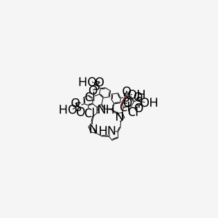 O=S(=O)(O)c1cccc(C2=Cc3cc4ccc(cc5nc(cc6[nH]c(c(-c7cccc(S(=O)(=O)O)c7Cl)c2n3)c(-c2cccc(S(=O)(=O)O)c2Cl)c6-c2cccc(S(=O)(=O)O)c2Cl)C=C5)[nH]4)c1Cl